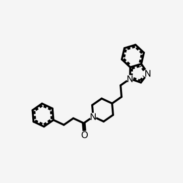 O=C(CCc1ccccc1)N1CCC(CCn2cnc3ccccc32)CC1